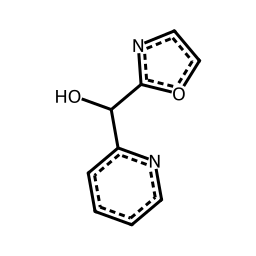 OC(c1ccccn1)c1ncco1